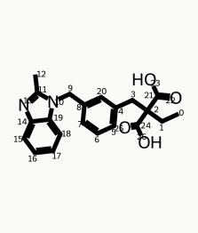 CCC(Cc1cccc(Cn2c(C)nc3ccccc32)c1)(C(=O)O)C(=O)O